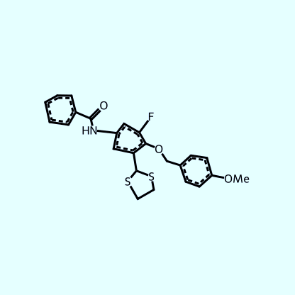 COc1ccc(COc2c(F)cc(NC(=O)c3ccccc3)cc2C2SCCS2)cc1